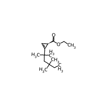 CCOC(=O)[C@@H]1C=C1C(C)(C)CC(C)(C)CC